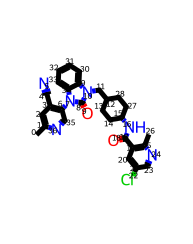 Cc1cc(C#N)c(-n2c(=O)n(CC3CCC(NC(=O)c4cc(Cl)cnc4C)CC3)c3ccccc32)cn1